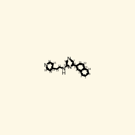 c1ccc2cc(-c3cncc(NCCc4ccncc4)n3)ccc2c1